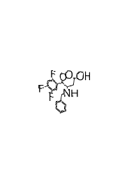 O=C(O)CC(NCc1ccccc1)C(=O)c1cc(F)c(F)cc1F